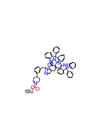 CC(C)(C)OC(=O)N1CCC(c2cccc(Cn3ncc(Cc4cc(NC(c5ccccc5)(c5ccccc5)c5ccccc5)nc5c4nnn5C(c4ccccc4)(c4ccccc4)c4ccccc4)c3C(F)(F)F)c2)CC1